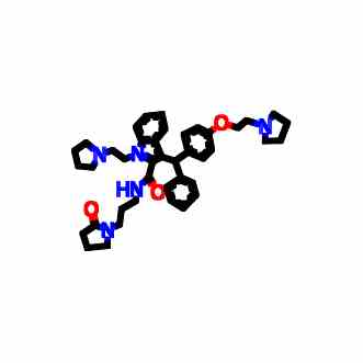 O=C(NCCCN1CCCC1=O)c1c(C(c2ccccc2)c2ccc(OCCN3CCCC3)cc2)c2ccccc2n1CCN1CCCC1